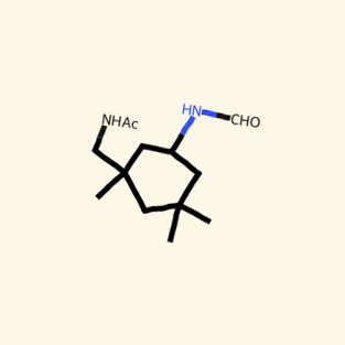 CC(=O)NCC1(C)CC(NC=O)CC(C)(C)C1